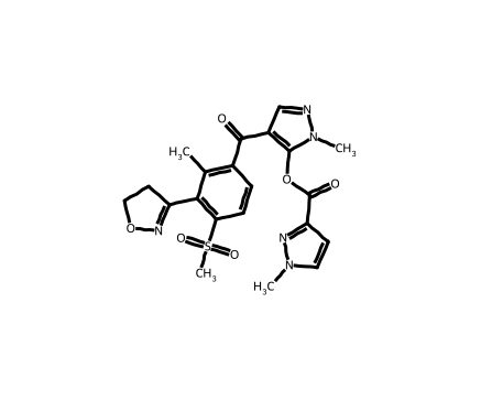 Cc1c(C(=O)c2cnn(C)c2OC(=O)c2ccn(C)n2)ccc(S(C)(=O)=O)c1C1=NOCC1